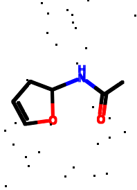 CC(=O)NC1CC=CO1